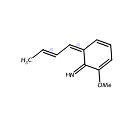 C/C=C/C=C1/C=CC=C(OC)C1=N